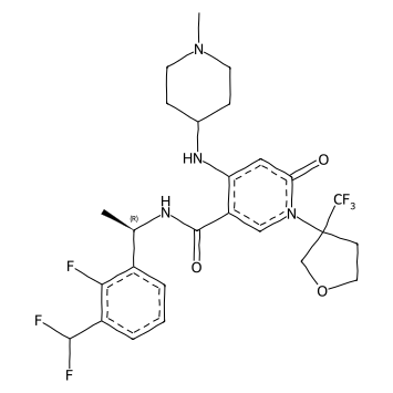 C[C@@H](NC(=O)c1cn(C2(C(F)(F)F)CCOC2)c(=O)cc1NC1CCN(C)CC1)c1cccc(C(F)F)c1F